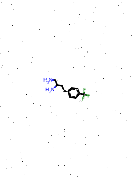 NCC(N)CCc1ccc(C(F)(F)F)cc1